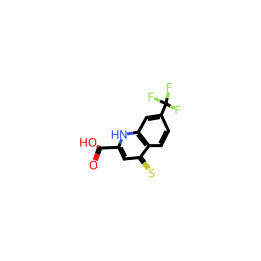 O=C(O)c1cc(=S)c2ccc(C(F)(F)F)cc2[nH]1